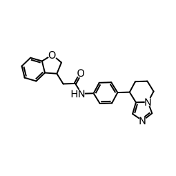 O=C(CC1COc2ccccc21)Nc1ccc(C2CCCn3cncc32)cc1